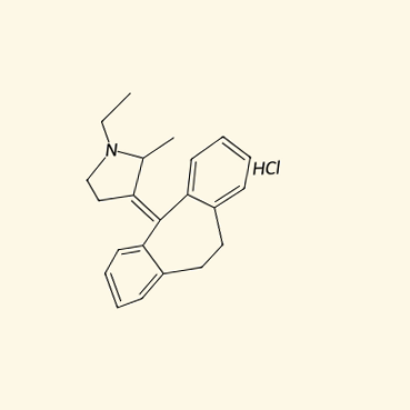 CCN1CCC(=C2c3ccccc3CCc3ccccc32)C1C.Cl